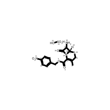 CC1=C(C(=O)OCc2ccc([N+](=O)[O-])cc2)N2C(=O)C(N)[C@@H]2SC1.O=S(=O)(O)O